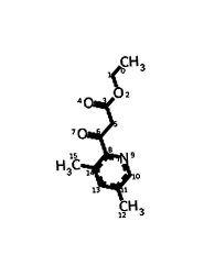 CCOC(=O)CC(=O)c1ncc(C)cc1C